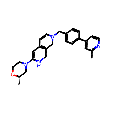 Cc1cc(-c2ccc(CN3C=CC4=C(CNC(N5CCO[C@H](C)C5)=C4)C3)cc2)ccn1